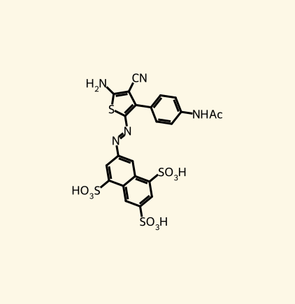 CC(=O)Nc1ccc(-c2c(N=Nc3cc(S(=O)(=O)O)c4cc(S(=O)(=O)O)cc(S(=O)(=O)O)c4c3)sc(N)c2C#N)cc1